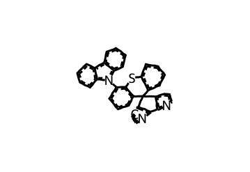 c1ccc2c(c1)Sc1c(-n3c4ccccc4c4ccccc43)cccc1C21c2cccnc2-c2ncccc21